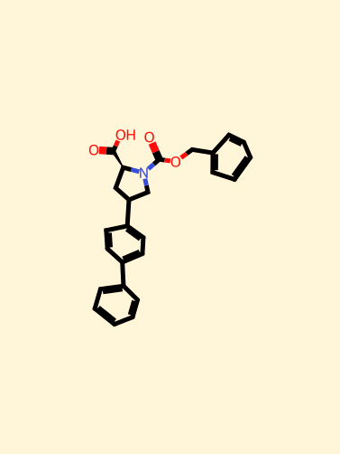 O=C(O)[C@@H]1CC(c2ccc(-c3ccccc3)cc2)CN1C(=O)OCc1ccccc1